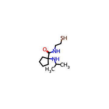 CC(C)NC1(C(=O)NCCS)CCCC1